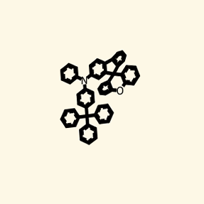 c1ccc(N(c2ccc(C(c3ccccc3)(c3ccccc3)c3ccccc3)cc2)c2ccc3c(c2)C2(c4ccccc4Oc4ccccc42)c2ccccc2-3)cc1